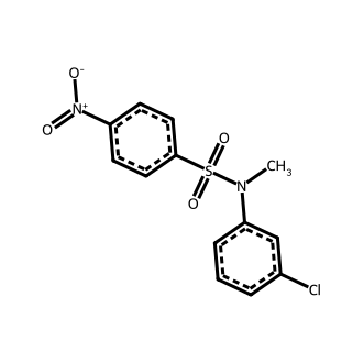 CN(c1cccc(Cl)c1)S(=O)(=O)c1ccc([N+](=O)[O-])cc1